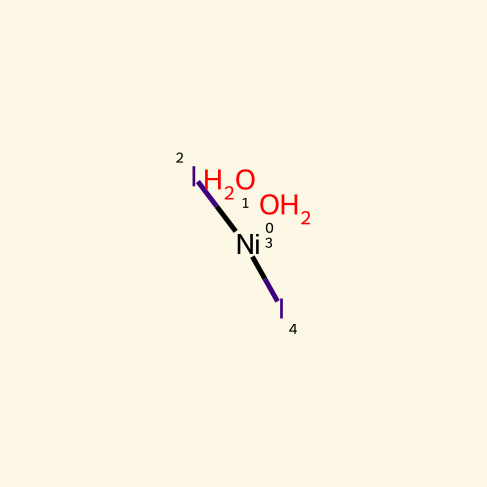 O.O.[I][Ni][I]